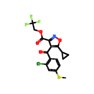 CSc1ccc(C(=O)c2c(C(=O)OCC(F)(F)F)noc2C2CC2)c(Cl)c1